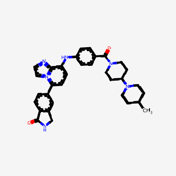 CC1CCN(C2CCN(C(=O)c3ccc(Nc4ccc(-c5ccc6c(c5)CNC6=O)n5ccnc45)cc3)CC2)CC1